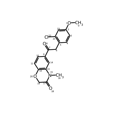 COc1ccc(CC(=O)c2ccc3c(c2)N(C)C(=O)CO3)c(Cl)c1